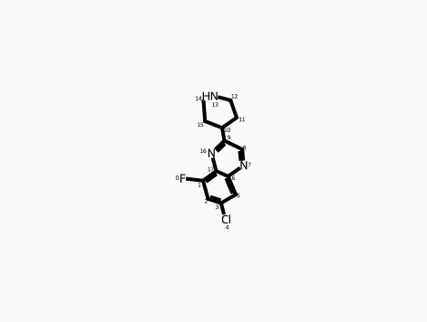 Fc1cc(Cl)cc2ncc(C3CCNCC3)nc12